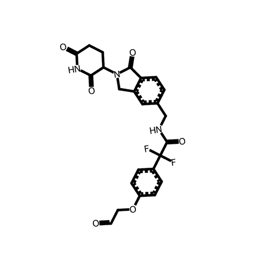 O=CCOc1ccc(C(F)(F)C(=O)NCc2ccc3c(c2)CN(C2CCC(=O)NC2=O)C3=O)cc1